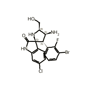 N[C@@H]1[C@H](CO)N[C@@]2(C(=O)Nc3cc(Cl)ccc32)[C@H]1c1cccc(Br)c1F